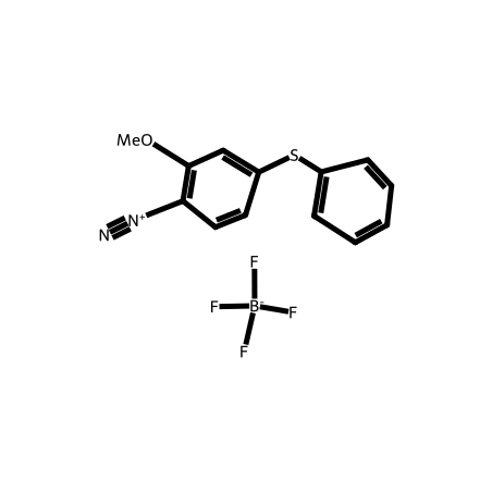 COc1cc(Sc2ccccc2)ccc1[N+]#N.F[B-](F)(F)F